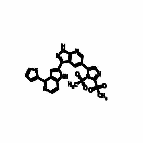 CS(=O)(=O)c1ncc(-c2cnc3[nH]nc(-c4cc5c(-c6cccs6)nccc5[nH]4)c3c2)n1S(C)(=O)=O